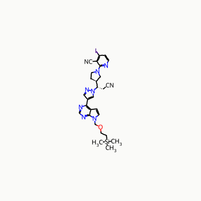 C[Si](C)(C)CCOCn1ccc2c(-c3cnn([C@@H](CC#N)[C@H]4CCN(c5nccc(I)c5C#N)C4)c3)ncnc21